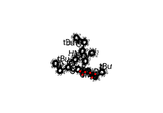 CSN1c2cc3c(cc2B2c4ccccc4N(c4ccccc4)c4cc(-c5cccc6c5oc5c(C(C)(C)C)cccc56)cc1c42)B1c2cc4c(cc2Oc2cc(-c5cccc6c5oc5c(C(C)(C)C)cccc56)cc(c21)O3)Nc1cc(-c2cccc3c2oc2c(C(C)(C)C)cccc23)cc2c1B4c1ccccc1N2c1ccccc1